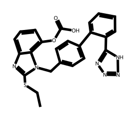 CCSc1nc2cccc(OC(=O)O)c2n1Cc1ccc(-c2ccccc2-c2nnn[nH]2)cc1